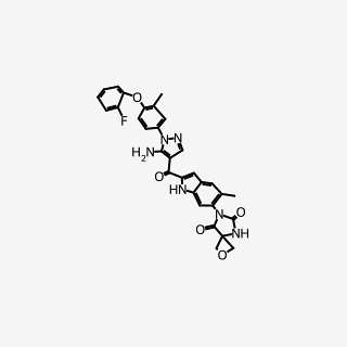 Cc1cc(-n2ncc(C(=O)c3cc4cc(C)c(N5C(=O)NC6(COC6)C5=O)cc4[nH]3)c2N)ccc1Oc1ccccc1F